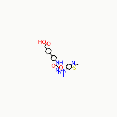 Cc1nc2ccc(Nc3nnc(C(=O)Nc4ccc(C5CCC(CC(=O)O)CC5)cc4)o3)cc2s1